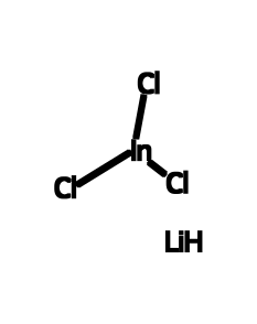 [Cl][In]([Cl])[Cl].[LiH]